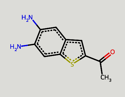 CC(=O)c1cc2cc(N)c(N)cc2s1